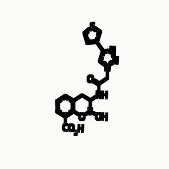 O=C(Cn1cc(-c2ccsc2)nn1)NC1Cc2cccc(C(=O)O)c2OB1O